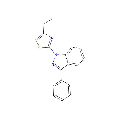 CCc1csc(-n2nc(-c3ccccc3)c3ccccc32)n1